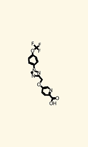 O=C(O)c1ccc(OCc2ncn(-c3ccc(OC(F)(F)F)cc3)n2)cn1